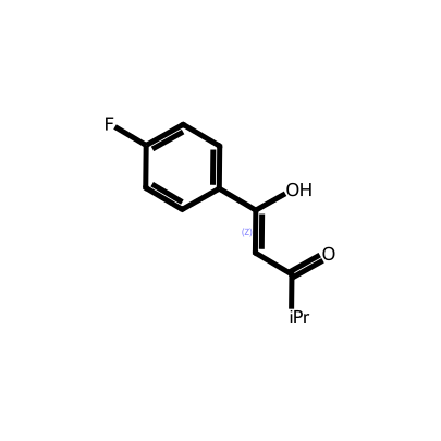 CC(C)C(=O)/C=C(\O)c1ccc(F)cc1